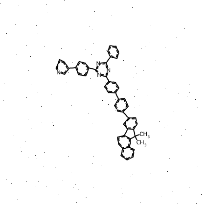 CC1(C)c2ccc(-c3ccc(-c4ccc(-c5nc(-c6ccccc6)nc(-c6ccc(-c7cccnc7)cc6)n5)cc4)cc3)cc2-c2ccc3ccccc3c21